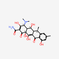 Cc1cc(O)c2c(c1)[C@H](C)C1C(=C(O)[C@]3(O)C(=O)C(C(N)=O)=C(O)[C@@H](N(C)C)C3[C@H]1O)C2=O